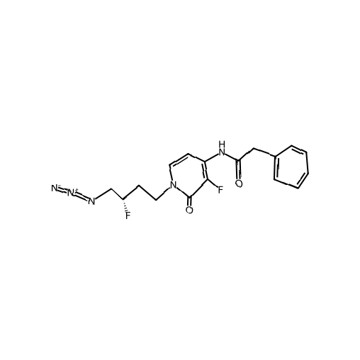 [N-]=[N+]=NC[C@@H](F)CCn1ccc(NC(=O)Cc2ccccc2)c(F)c1=O